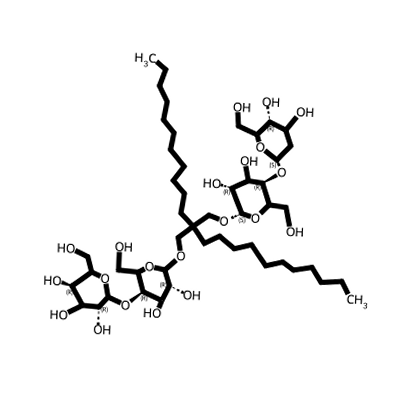 CCCCCCCCCCCC(CCCCCCCCCCC)(COC1OC(CO)[C@H](OC2OC(CO)[C@H](O)C(O)[C@H]2O)C(O)[C@H]1O)CO[C@H]1OC(CO)[C@H](O[C@H]2CC(O)[C@@H](O)C(CO)O2)C(O)[C@H]1O